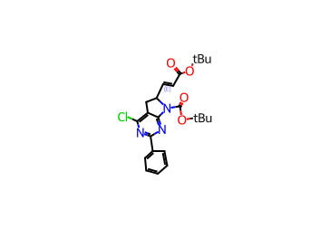 CC(C)(C)OC(=O)/C=C/C1Cc2c(Cl)nc(-c3ccccc3)nc2N1C(=O)OC(C)(C)C